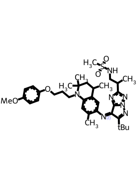 COc1ccc(OCCCN2c3cc(C)c(/N=C4/C(C(C)(C)C)=Nn5nc(C(C)CNS(C)(=O)=O)nc54)cc3C(C)CC2(C)C)cc1